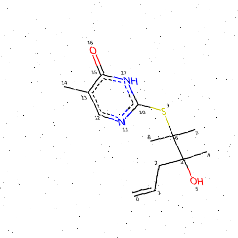 C=CCC(C)(O)C(C)(C)Sc1ncc(C)c(=O)[nH]1